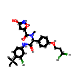 CN(C(=O)c1cc(O)no1)C(C(=O)Nc1ccc([Si](C)(C)C)c(F)c1)c1ccc(OCCC(F)F)cc1